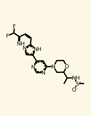 CC(N[S+](C)[O-])C1CN(c2cc(-c3cnc(/C=C\C(=N)C(F)F)[nH]3)ncn2)CCO1